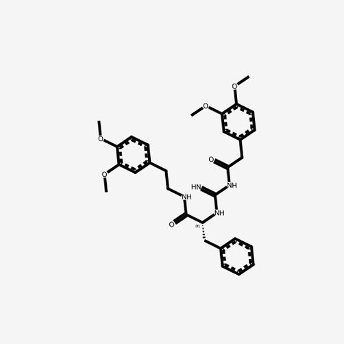 COc1ccc(CCNC(=O)[C@@H](Cc2ccccc2)NC(=N)NC(=O)Cc2ccc(OC)c(OC)c2)cc1OC